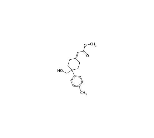 COC(=O)C=C1CCC(CO)(c2ccc(C)cc2)CC1